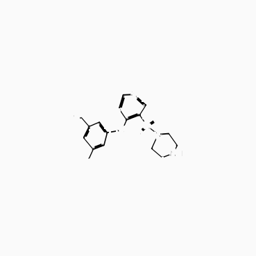 O=S(=O)(c1cnccc1Sc1cc(Cl)cc(Cl)c1)N1CCNCC1